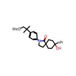 CCCC1(O)CCC2(CCN(c3ccc(C(C)(C)COC)cc3)C2=O)CC1